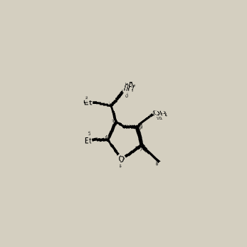 CCCC(CC)C1C(CC)OC(C)C1O